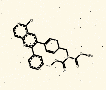 CC(C)(C)OC(=O)N(CC1C=CC(c2nc3c(Cl)nccc3nc2-c2ccccc2)=CC1)C(=O)OC(C)(C)C